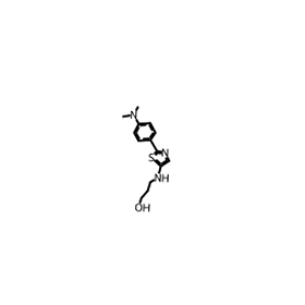 CN(C)c1ccc(-c2ncc(NCCCO)s2)cc1